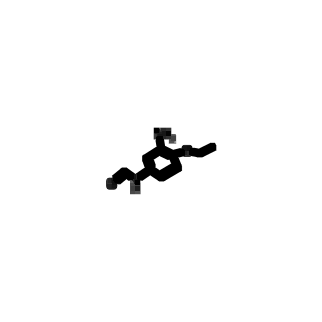 CCOc1ccc(NC=O)cc1N